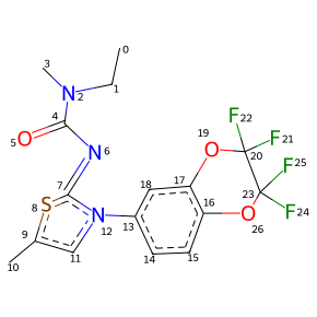 CCN(C)C(=O)/N=c1\sc(C)cn1-c1ccc2c(c1)OC(F)(F)C(F)(F)O2